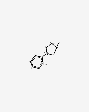 c1ccc(N2CC3CC3C2)nc1